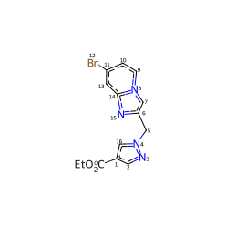 CCOC(=O)c1cnn(Cc2cn3ccc(Br)cc3n2)c1